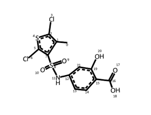 Cc1c(Cl)sc(Cl)c1S(=O)(=O)Nc1ccc(C(=O)O)c(O)c1